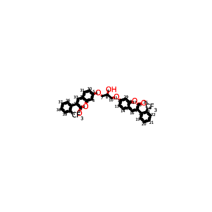 O=c1oc2cc(OCC(O)COc3ccc4cc(-c5ccccc5C(F)(F)F)c(=O)oc4c3)ccc2cc1-c1ccccc1C(F)(F)F